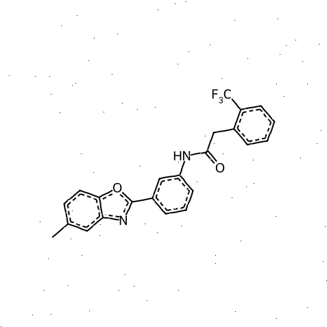 Cc1ccc2oc(-c3cccc(NC(=O)Cc4ccccc4C(F)(F)F)c3)nc2c1